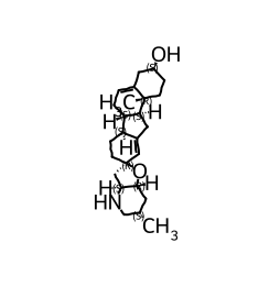 C[C@@H]1CN[C@H]2C[C@]3(C=C4C[C@H]5[C@@H](CC=C6C[C@@H](O)CC[C@@]65C)[C@@H]4CC3)O[C@@H]2C1